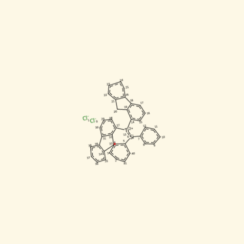 [Cl-].[Cl-].c1ccc([Si](c2ccccc2)=[Ti+2]([c]2cccc3c2Cc2ccccc2-3)[c]2cccc3c2Cc2ccccc2-3)cc1